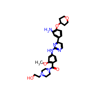 COc1cc(Nc2nccc(-c3ccc(OC4CCOCC4)c(N)c3)n2)ccc1C(=O)N1CCN(CCO)CC1